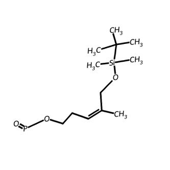 C/C(=C/CCOP=O)CO[Si](C)(C)C(C)(C)C